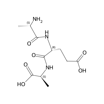 C[C@H](N)C(=O)N[C@H](CCC(=O)O)C(=O)N[C@@H](C)C(=O)O